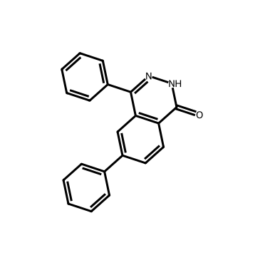 O=c1[nH]nc(-c2ccccc2)c2cc(-c3ccccc3)ccc12